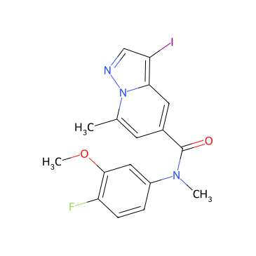 COc1cc(N(C)C(=O)c2cc(C)n3ncc(I)c3c2)ccc1F